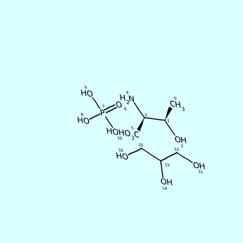 C[C@@H](O)[C@H](N)C(=O)O.O=P(O)(O)O.OCC(O)CO